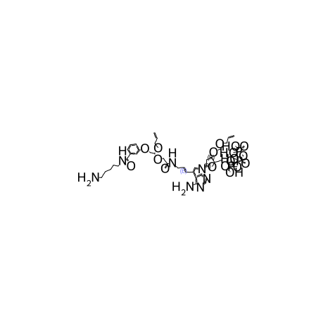 C=CCOCO[C@@H]1C[C@H](n2cc(/C=C/CNC(=O)COC(COc3cccc(C(=O)NCCCCCN)c3)OCC=C)c3c(N)ncnc32)OC1COP(=O)(O)OP(=O)(O)OP(=O)(O)O